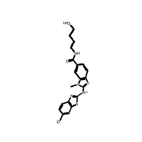 Cn1c(Nc2nc3ccc(Cl)cc3s2)nc2ccc(C(=O)NCCCCO)cc21